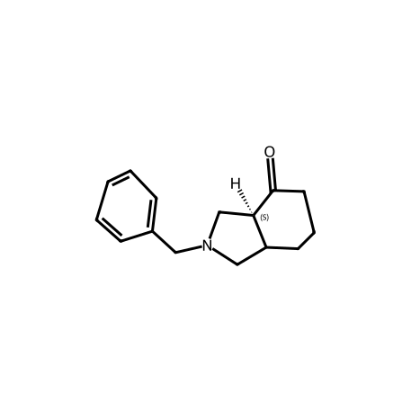 O=C1CCCC2CN(Cc3ccccc3)C[C@@H]12